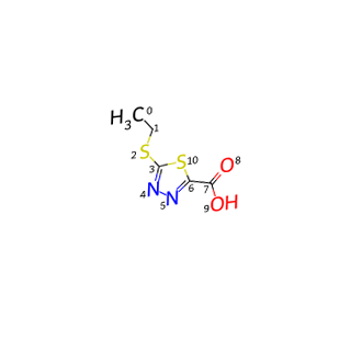 CCSc1nnc(C(=O)O)s1